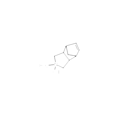 C[N+]1(C)CC2C3C=CC(C3)C2C1